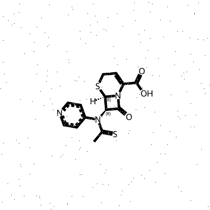 CC(=S)N(c1ccncc1)[C@@H]1C(=O)N2C(C(=O)O)=CCS[C@H]12